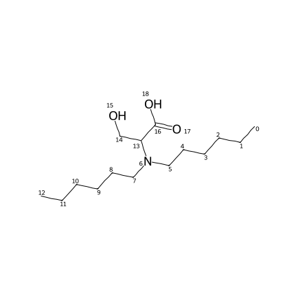 CCCCCCN(CCCCCC)C(CO)C(=O)O